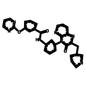 O=C(Nc1cccc(-n2c(=O)c(Cc3cccnc3)nc3cccnc32)c1)c1cccc(Oc2ncccn2)c1